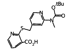 CN(C(=O)OC(C)(C)C)c1cc(CSc2ncccc2C(=O)O)ccn1